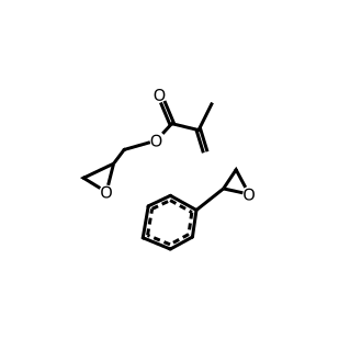 C=C(C)C(=O)OCC1CO1.c1ccc(C2CO2)cc1